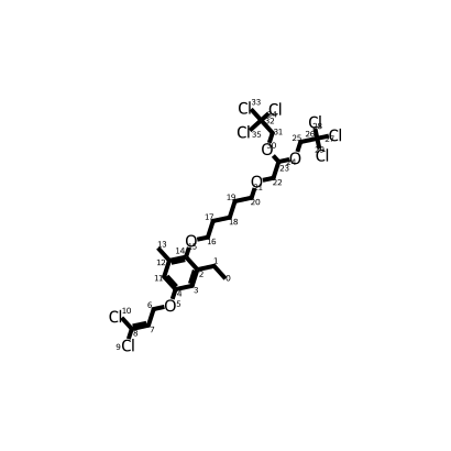 CCc1cc(OCC=C(Cl)Cl)cc(C)c1OCCCCCOCC(OCC(Cl)(Cl)Cl)OCC(Cl)(Cl)Cl